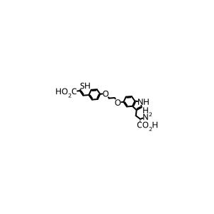 N[C@@H](Cc1c[nH]c2ccc(OCCOc3ccc(C=C(S)C(=O)O)cc3)cc12)C(=O)O